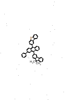 CC1(C)c2ccccc2-c2cc(-c3c4ccccc4c(-c4ccc5sc6ccccc6c5c4)c4ccc(-c5ccccc5)cc34)ccc21